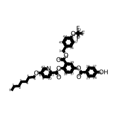 CCCCCCCOc1ccc(C(=O)Oc2ccc(OC(=O)c3ccc(O)cc3)cc2C(=O)OCc2ccc(OC(F)(F)F)cc2)nc1